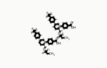 CCC(F)(F)OC[C@@H]1CC[C@H](c2ccc(C(F)(F)F)cc2)CN1c1ccc(C(=O)O)cc1.CCC(F)(F)OC[C@H]1CC[C@@H](c2ccc(C(F)(F)F)cc2)CN1c1ccc(C(=O)O)cc1